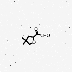 CC1(C)COC(C(=O)C=O)C1